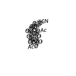 CC(=O)OCOC(=O)CN(CC(=O)OCOC(C)=O)c1ccc(C)cc1OCCOc1cc2cc(-c3ccc(C#N)s3)c(=O)oc2cc1N(CC(=O)OCOC(C)=O)CC(=O)OCOC(C)=O